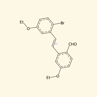 CCOc1ccc(Br)c(/C=C/c2cc(OCC)ccc2C=O)c1